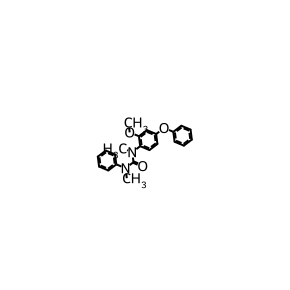 COc1cc(Oc2ccccc2)ccc1N(C)C(=O)N(C)c1ccccc1